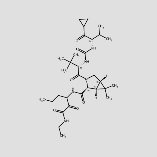 CCCC(NC(=O)[C@@H]1[C@@H]2[C@H](CN1C(=O)[C@@H](NC(=O)N[C@H](C(=O)C1CC1)C(C)C)C(C)(C)C)C2(C)C)C(=O)C(=O)NCC